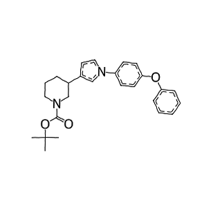 CC(C)(C)OC(=O)N1CCCC(c2ccn(-c3ccc(Oc4ccccc4)cc3)c2)C1